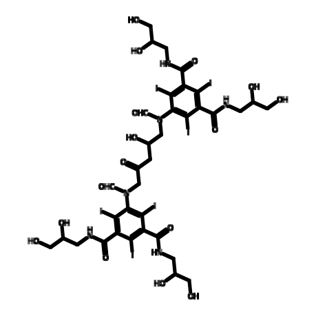 O=CN(CC(=O)CC(O)CN(C=O)c1c(I)c(C(=O)NCC(O)CO)c(I)c(C(=O)NCC(O)CO)c1I)c1c(I)c(C(=O)NCC(O)CO)c(I)c(C(=O)NCC(O)CO)c1I